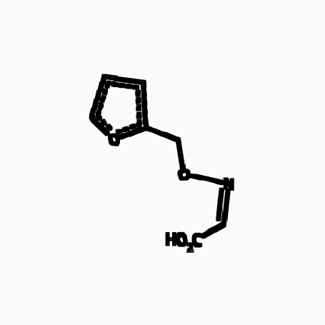 O=C(O)/C=N\OCc1ccco1